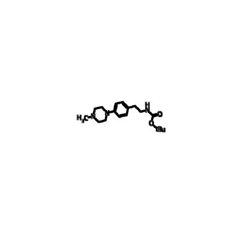 CN1CCN(c2ccc(CCNC(=O)OC(C)(C)C)cc2)CC1